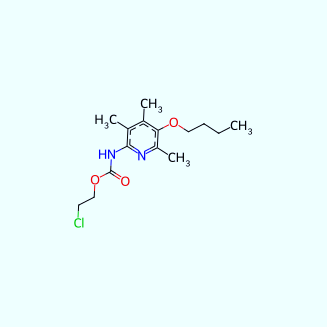 CCCCOc1c(C)nc(NC(=O)OCCCl)c(C)c1C